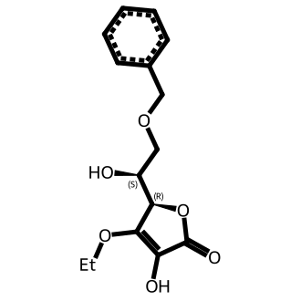 CCOC1=C(O)C(=O)O[C@@H]1[C@@H](O)COCc1ccccc1